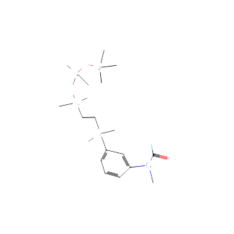 CN(C(=O)F)c1cccc([Si](C)(C)CC[Si](C)(C)O[Si](C)(C)O[Si](C)(C)C)c1